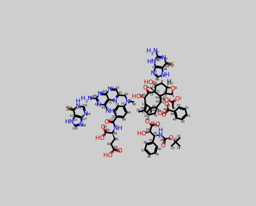 CC(=O)O[C@@]12CO[C@@H]1C[C@H](O)[C@@]1(C)C(=O)[C@H](O)C3=C(C)[C@@H](OC(=O)[C@H](O)[C@@H](NC(=O)OC(C)(C)C)c4ccccc4)C[C@@](O)([C@@H](OC(=O)c4ccccc4)[C@H]21)C3(C)C.CN(Cc1cnc2nc(N)nc(N)c2n1)c1ccc(C(=O)N[C@@H](CCC(=O)O)C(=O)O)cc1.Nc1nc(=S)c2[nH]cnc2[nH]1.S=c1[nH]cnc2nc[nH]c12